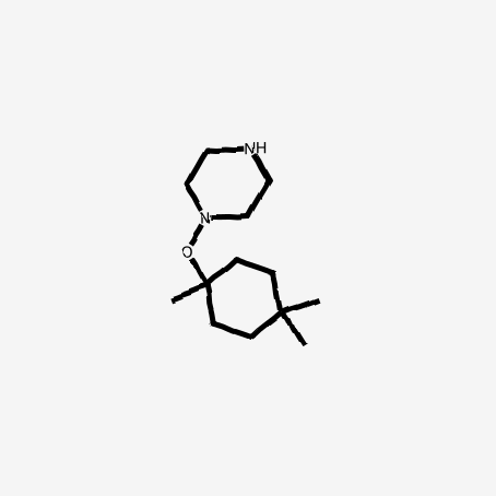 CC1(C)CCC(C)(ON2CCNCC2)CC1